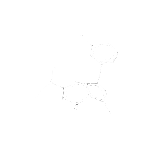 CCCN(CCC)c1nc2c(-c3cccc(C#N)c3)nn(C)c2c(=O)[nH]1